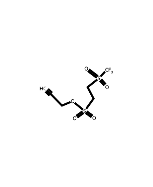 C#CCOS(=O)(=O)CCS(=O)(=O)C(F)(F)F